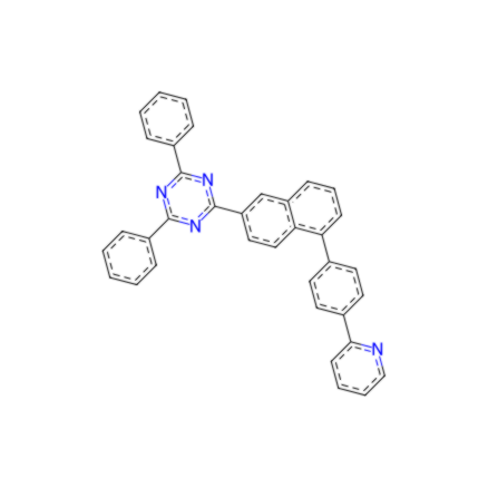 c1ccc(-c2nc(-c3ccccc3)nc(-c3ccc4c(-c5ccc(-c6ccccn6)cc5)cccc4c3)n2)cc1